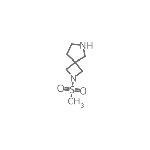 CS(=O)(=O)N1CC2(CCNC2)C1